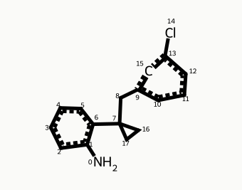 Nc1ccccc1C1(Cc2cccc(Cl)c2)CC1